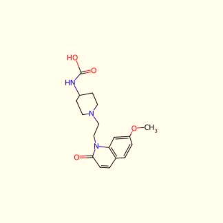 COc1ccc2ccc(=O)n(CCN3CCC(NC(=O)O)CC3)c2c1